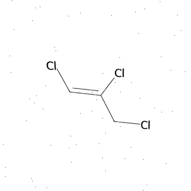 ClC=C(Cl)CCl